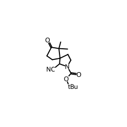 CC(C)(C)OC(=O)N1CCC2(CCC(=O)C2(C)C)C1C#N